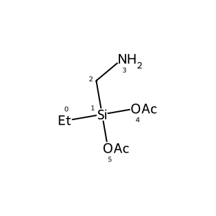 CC[Si](CN)(OC(C)=O)OC(C)=O